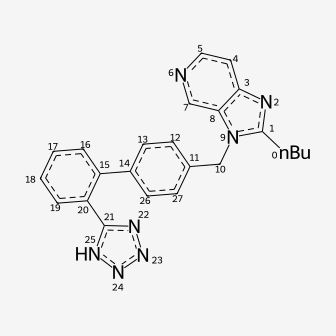 CCCCc1nc2ccncc2n1Cc1ccc(-c2ccccc2-c2nnn[nH]2)cc1